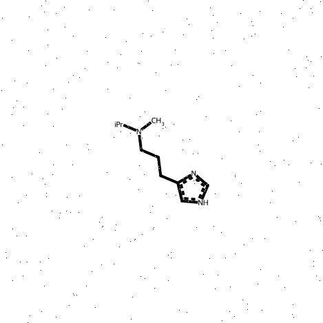 CC(C)N(C)CCCc1c[nH]cn1